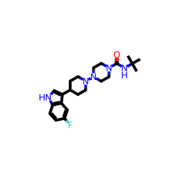 CC(C)(C)NC(=O)N1CCN(N2CCC(c3c[nH]c4ccc(F)cc34)CC2)CC1